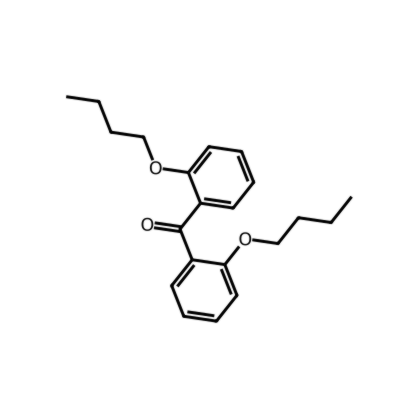 CCCCOc1ccccc1C(=O)c1ccccc1OCCCC